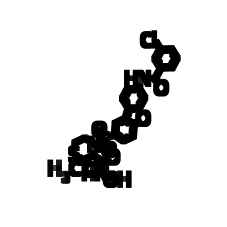 CC1(C)SCCN(S(=O)(=O)c2ccc3oc4cc(NC(=O)c5cccc(Cl)c5)ccc4c3c2)C1C(=O)NO